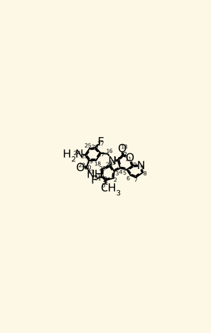 Cc1cc2c3c4cccnc4oc(=O)c3n(Cc3cc(C(N)=O)c(N)cc3F)c2cc1F